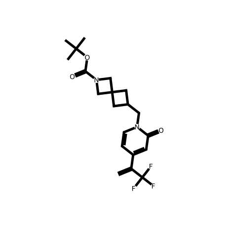 C=C(c1ccn(CC2CC3(C2)CN(C(=O)OC(C)(C)C)C3)c(=O)c1)C(F)(F)F